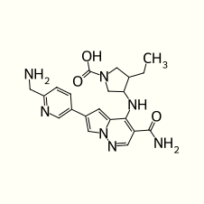 CCC1CN(C(=O)O)CC1Nc1c(C(N)=O)cnn2cc(-c3ccc(CN)nc3)cc12